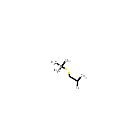 [Li][CH](C)CS[Si](C)(C)C(C)(C)C